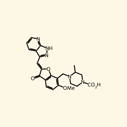 COc1ccc2c(c1CN1CCN(C(=O)O)CC1C)OC(=Cc1n[nH]c3ncccc13)C2=O